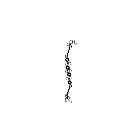 C=CC(=O)OCCCCCCOc1ccc(C(=O)Oc2ccc(S(=O)(=O)c3ccc(OC(=O)c4ccc(OCCCCCCOC(=O)C=C)cc4)cc3)cc2)cc1